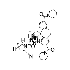 C[C@H](CC1(c2nnn[nH]2)c2ccc(C(=O)N3CCCCC3)cc2CCc2cc(C(=O)N3CCCCC3)ccc21)NCC(=O)N1C(C#N)C[C@@H]2C[C@@H]21